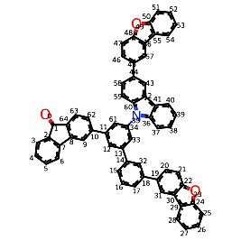 O=C1c2ccccc2-c2cc(-c3cc(-c4cccc(-c5ccc6oc7ccccc7c6c5)c4)cc(-n4c5ccccc5c5cc(-c6ccc7oc8ccccc8c7c6)ccc54)c3)ccc21